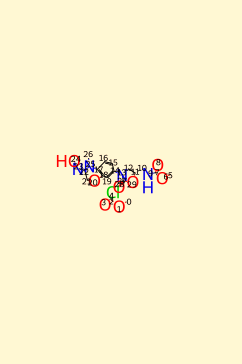 COC(=O)Cl.COC(=O)NC[C@H]1CN(c2ccc3c(c2)OCC(=NO)N3C)C(=O)O1